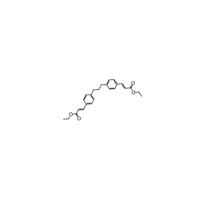 CCOC(=O)C=Cc1ccc(CCCc2ccc(C=CC(=O)OCC)cc2)cc1